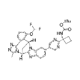 Cc1nnc2n1[C@@H]1C[C@H](c3c(OC(F)F)cccc3-2)n2c1nc1ccc(-c3cnc(C4(NC(=O)OC(C)(C)C)CCC4)nc3)cc12